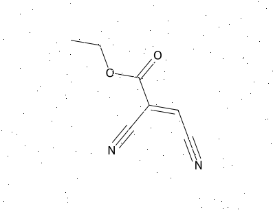 CCOC(=O)C(C#N)=CC#N